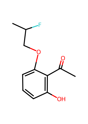 CC(=O)c1c(O)cccc1OCC(C)F